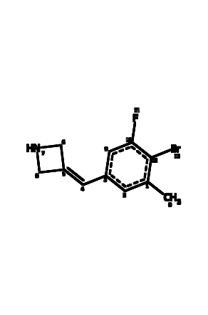 Cc1cc(C=C2CNC2)cc(F)c1Br